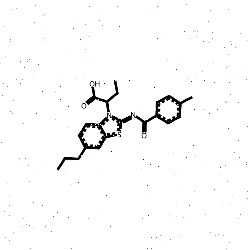 CCCc1ccc2c(c1)s/c(=N\C(=O)c1ccc(C)cc1)n2C(CC)C(=O)O